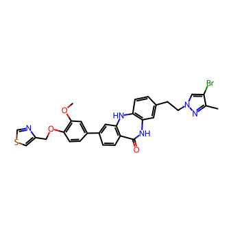 COc1cc(-c2ccc3c(c2)Nc2ccc(CCn4cc(Br)c(C)n4)cc2NC3=O)ccc1OCc1cscn1